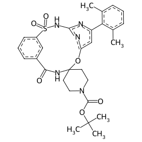 Cc1cccc(C)c1-c1cc2nc(n1)NS(=O)(=O)c1cccc(c1)C(=O)NC1(CCN(C(=O)OC(C)(C)C)CC1)O2